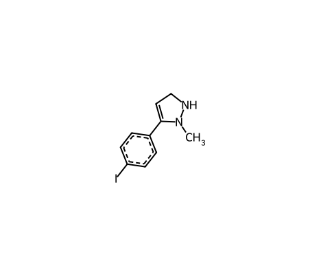 CN1NCC=C1c1ccc(I)cc1